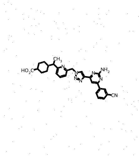 CC(c1cccc(Cn2cc(-c3cc(-c4cccc(C#N)c4)nc(N)n3)nn2)n1)C1CCC(C(=O)O)CC1